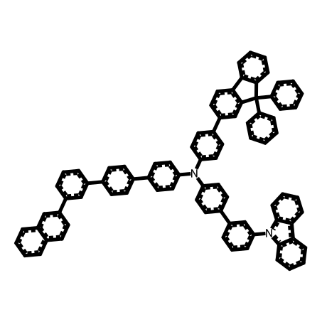 c1ccc(C2(c3ccccc3)c3ccccc3-c3ccc(-c4ccc(N(c5ccc(-c6ccc(-c7cccc(-c8ccc9ccccc9c8)c7)cc6)cc5)c5ccc(-c6cccc(-n7c8ccccc8c8ccccc87)c6)cc5)cc4)cc32)cc1